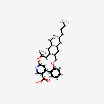 CCCCCCCCCCOc1ccccc1-c1cc(OC(C)CCCCCC)ncc1C(=O)O